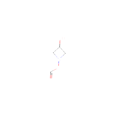 O=CON1CC(O)C1